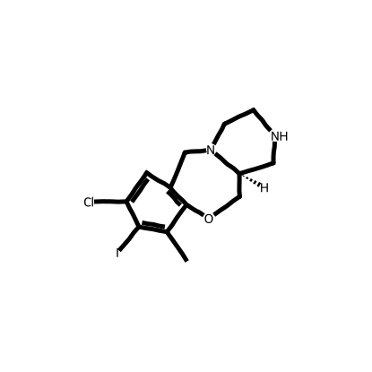 Cc1c(I)c(Cl)cc2c1OC[C@@H]1CNCCN1C2